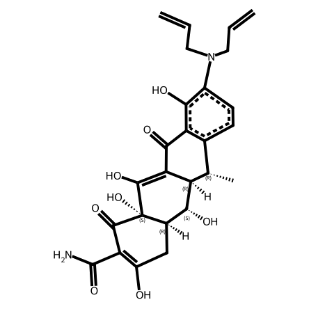 C=CCN(CC=C)c1ccc2c(c1O)C(=O)C1=C(O)[C@]3(O)C(=O)C(C(N)=O)=C(O)C[C@@H]3[C@@H](O)[C@@H]1[C@H]2C